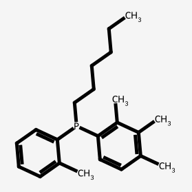 CCCCCCP(c1ccccc1C)c1ccc(C)c(C)c1C